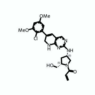 C=CC(=O)N1C[C@@H](Nc2ncc3c(n2)NCC(c2cc(OC)cc(OC)c2Cl)=C3)C[C@H]1CO